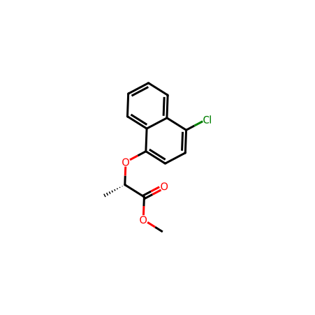 COC(=O)[C@H](C)Oc1ccc(Cl)c2ccccc12